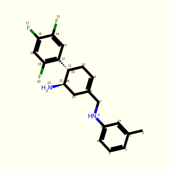 Cc1cccc(NCC2=CC[C@@H](c3cc(F)c(F)cc3F)[C@H](N)C2)c1